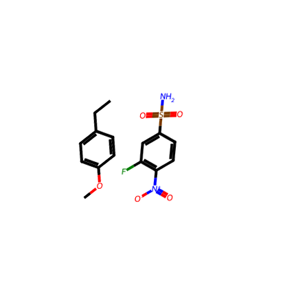 CCc1ccc(OC)cc1.NS(=O)(=O)c1ccc([N+](=O)[O-])c(F)c1